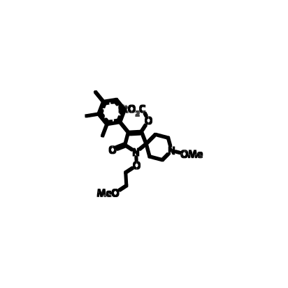 CCOC(=O)OC1=C(c2ccc(C)c(C)c2C)C(=O)N(OCCOC)C12CCN(OC)CC2